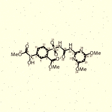 COC(=O)c1cc(N(O)C(=O)OC)ccc1S(=O)(=O)NC(=O)Nc1nc(OC)cc(OC)n1